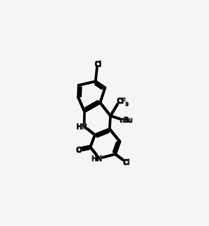 CCCCC1(C(F)(F)F)c2cc(Cl)ccc2Nc2c1cc(Cl)[nH]c2=O